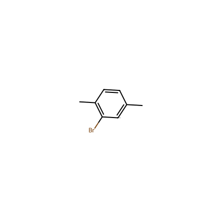 Cc1[c]c(Br)c(C)cc1